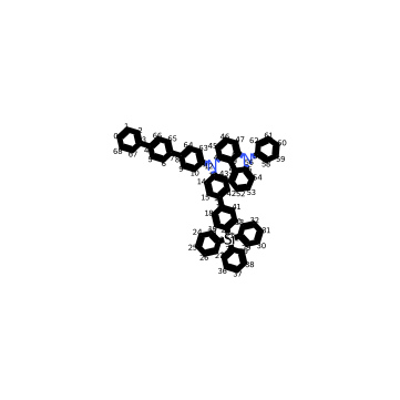 c1ccc(-c2ccc(-c3ccc(N(c4ccc(-c5ccc([Si](c6ccccc6)(c6ccccc6)c6ccccc6)cc5)cc4)c4cccc5c4c4ccccc4n5-c4ccccc4)cc3)cc2)cc1